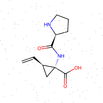 C=C[C@@H]1C[C@]1(NC(=O)[C@@H]1CCCN1)C(=O)O